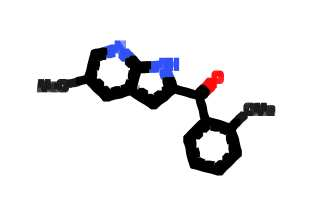 COc1cnc2[nH]c(C(=O)c3ccccc3OC)cc2c1